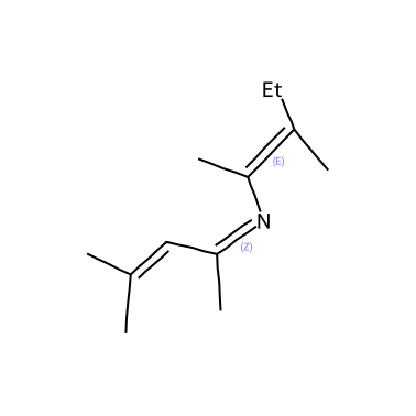 CC/C(C)=C(C)/N=C(/C)C=C(C)C